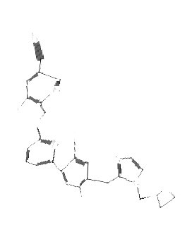 N#Cc1cnc(COc2cccc(-c3cc(F)c(Cc4nccn4C[C@@H]4CCO4)cc3F)n2)c(F)c1